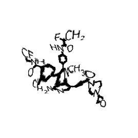 C=C(F)C(=O)Nc1ccc(-c2c(-c3ccc(C(=O)NCC(F)(F)F)c(Cl)c3)c3c(N)ncc(C#CC(=O)N4CCN(C5COC5)CC4)c3n2C)cc1